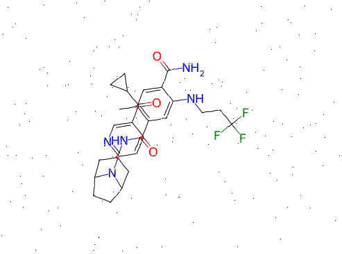 Cc1cc(C(N)=O)c(NCCC(F)(F)F)cc1C(=O)NC1CC2CCC(C1)N2c1ccc(C(=O)C2CC2)cn1